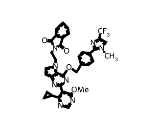 COc1ncnc(C2CC2)c1-c1nc(OCc2ccc(-c3nc(C(F)(F)F)cn3C)cc2)c2c(ccn2CCN2C(=O)c3ccccc3C2=O)n1